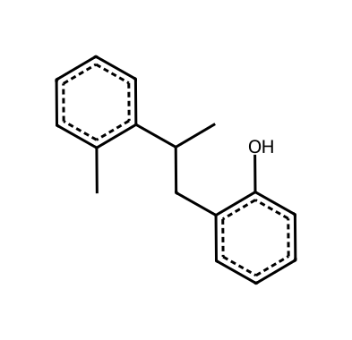 Cc1ccccc1C(C)Cc1ccccc1O